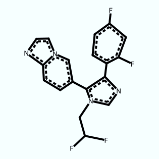 Fc1ccc(-c2ncn(CC(F)F)c2-c2ccc3nccn3c2)c(F)c1